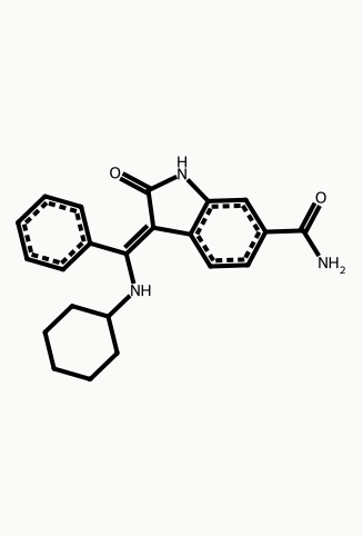 NC(=O)c1ccc2c(c1)NC(=O)C2=C(NC1CCCCC1)c1ccccc1